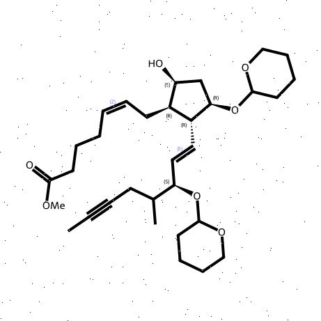 CC#CCC(C)[C@@H](/C=C/[C@@H]1[C@@H](C/C=C\CCCC(=O)OC)[C@@H](O)C[C@H]1OC1CCCCO1)OC1CCCCO1